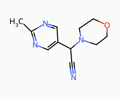 Cc1ncc(C(C#N)N2CCOCC2)cn1